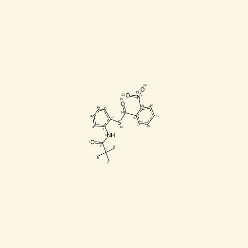 CC(C)(C)C(=O)Nc1ccccc1SC(=O)c1ccccc1[N+](=O)[O-]